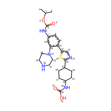 CC(C)OC(=O)Nc1ccc(-c2cnc(C3CCC(NC(=O)O)CC3)s2)c(N2CCNCC2)c1